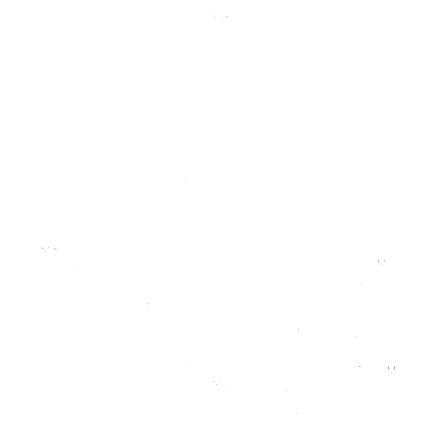 C=C(C)C(=O)OCC(COC(=O)C(=O)OC)(COC(=O)C(=O)OC)COc1cc(OCC(COC(=O)C(=C)C)(COC(=O)C(=O)OC)COC(=O)C(=O)OC)cc(-c2ccc(-c3ccc(C4CCC(CCCCC)CC4)cc3F)c(CC)c2)c1